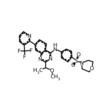 COC(C)c1nc(Nc2ccc(S(=O)(=O)N3CCOCC3)cc2)c2ccc(-c3ncccc3C(F)(F)F)cc2n1